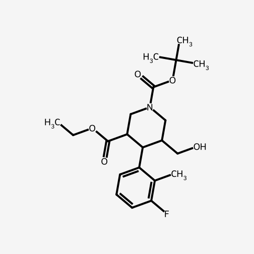 CCOC(=O)C1CN(C(=O)OC(C)(C)C)CC(CO)C1c1cccc(F)c1C